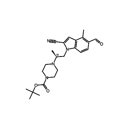 Cc1c(C=O)ccc2c1cc(C#N)n2C[C@H](C)N1CCN(C(=O)OC(C)(C)C)CC1